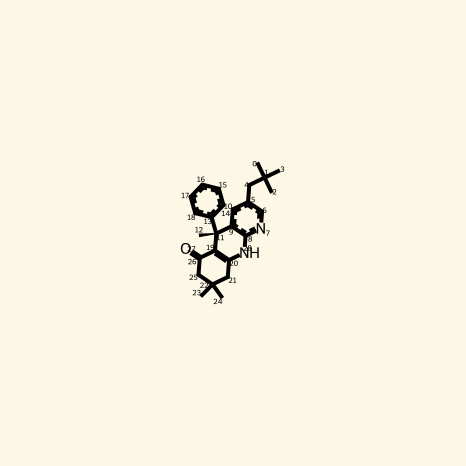 CC(C)(C)Cc1cnc2c(c1)[C@@](C)(c1ccccc1)C1=C(CC(C)(C)CC1=O)N2